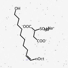 CCCCCCCC/C=C\CCCCCCCCO.O=C([O-])CC(C(=O)[O-])S(=O)(=O)O.[Na+].[Na+]